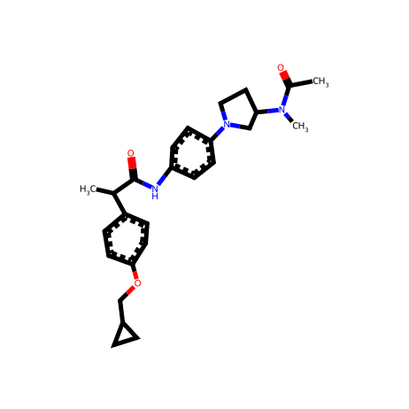 CC(=O)N(C)C1CCN(c2ccc(NC(=O)C(C)c3ccc(OCC4CC4)cc3)cc2)C1